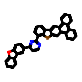 c1ccc2c(c1)oc1ccc(-c3ccnc(-c4cccc5c4sc4cc6c7ccccc7c7ccccc7c6cc45)n3)cc12